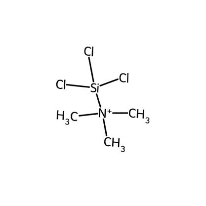 C[N+](C)(C)[Si](Cl)(Cl)Cl